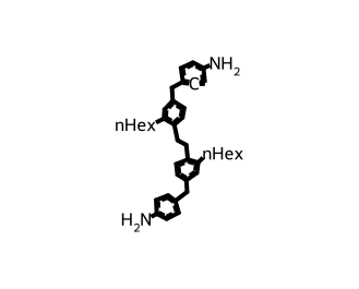 CCCCCCc1cc(Cc2ccc(N)cc2)ccc1CCc1ccc(Cc2ccc(N)cc2)cc1CCCCCC